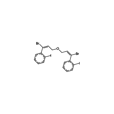 Br/C(=C/COC/C=C(/Br)c1ccccc1I)c1ccccc1I